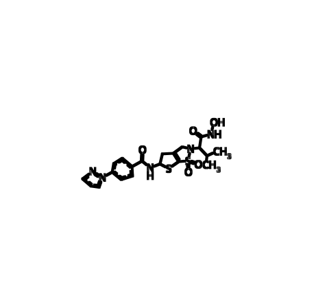 CC(C)C(C(=O)NO)N1CC2=C(SC(NC(=O)c3ccc(-n4cccn4)cc3)C2)S1(=O)=O